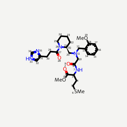 COC(=O)C(CCSC)NC(=O)CN(Cc1ccccc1OC)C[C@@H]1CCCCN1C(=O)CCc1c[nH]cn1